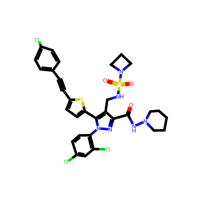 O=C(NN1CCCCC1)c1nn(-c2ccc(Cl)cc2Cl)c(-c2ccc(C#Cc3ccc(Cl)cc3)s2)c1CNS(=O)(=O)N1CCC1